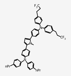 CCCc1ccc(N(c2ccc(CCC)cc2)c2ccc(-c3ccc(-c4ccc(N(c5ccc(CCC(F)(F)F)cc5)c5ccc(CCC(F)(F)F)cc5)cc4)n3C)cc2)cc1